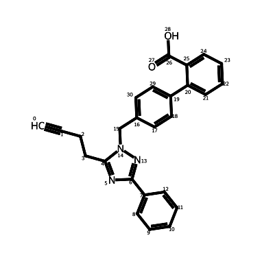 C#CCCc1nc(-c2ccccc2)nn1Cc1ccc(-c2ccccc2C(=O)O)cc1